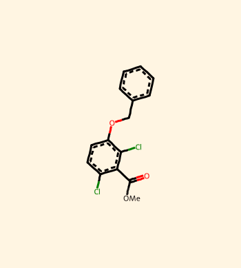 COC(=O)c1c(Cl)ccc(OCc2ccccc2)c1Cl